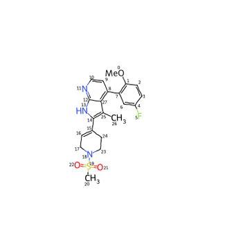 COc1ccc(F)cc1-c1ccnc2[nH]c(C3=CCN(S(C)(=O)=O)CC3)c(C)c12